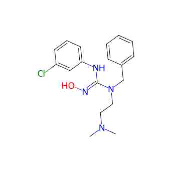 CN(C)CCN(Cc1ccccc1)/C(=N/O)Nc1cccc(Cl)c1